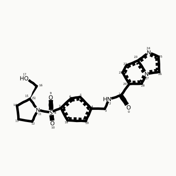 O=C(NCc1ccc(S(=O)(=O)N2CCC[C@H]2CO)cc1)c1ccc2nccn2c1